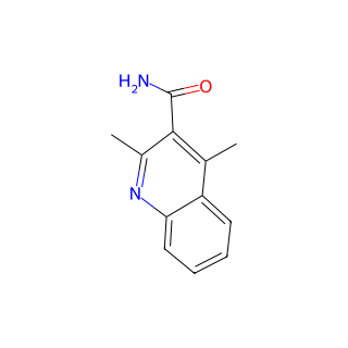 Cc1nc2ccccc2c(C)c1C(N)=O